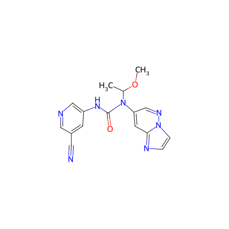 COC(C)N(C(=O)Nc1cncc(C#N)c1)c1cnn2ccnc2c1